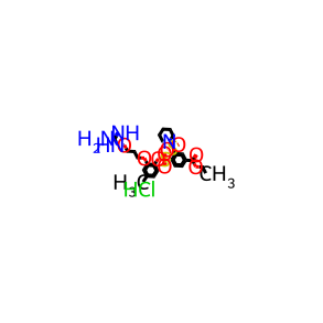 CCOC(=O)c1ccc(S(=O)(=O)Oc2ccc(C)cc2OCCCONC(=N)N)c(S(=O)(=O)N2CCCCC2)c1.Cl